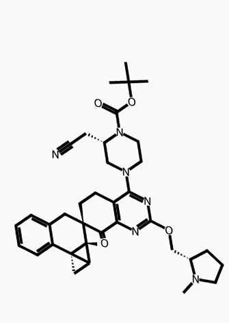 CN1CCC[C@H]1COc1nc2c(c(N3CCN(C(=O)OC(C)(C)C)[C@@H](CC#N)C3)n1)CC[C@@]1(Cc3ccccc3[C@]34CC3[C@@]14C)C2=O